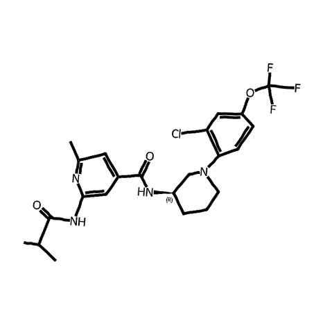 Cc1cc(C(=O)N[C@@H]2CCCN(c3ccc(OC(F)(F)F)cc3Cl)C2)cc(NC(=O)C(C)C)n1